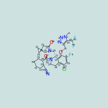 Cn1nnc(COc2c(F)cc(Cl)c3c2[C@@H](CN2CC4(CC4)CC2=O)N(C(=O)[C@@H]2CCCC[C@]2(C)C#N)CC3)c1C(F)F